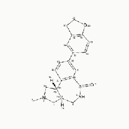 CN1C[C@@H]2CNC(=O)c3cc(-c4ccc5c(c4)CCO5)ccc3[C@H]2C1